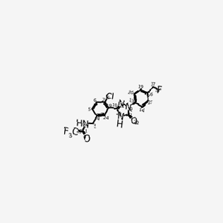 O=C(NCc1ccc(Cl)c(-c2nn(-c3ccc(CF)cc3)c(=O)[nH]2)c1)C(F)(F)F